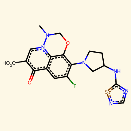 CN1COc2c(N3CCC(Nc4ncns4)C3)c(F)cc3c(=O)c(C(=O)O)cn1c23